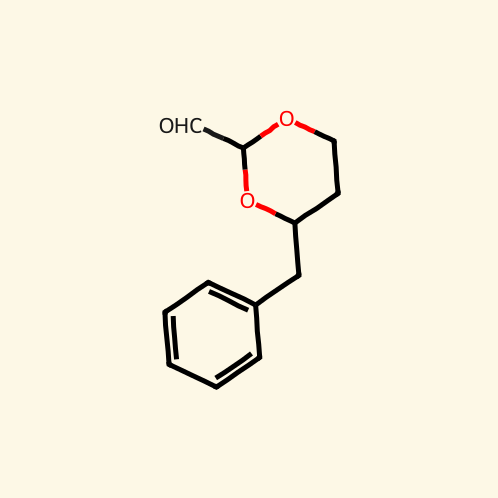 O=CC1OCCC(Cc2ccccc2)O1